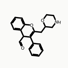 O=CC1C(c2ccccc2)=C(CC2CNCCO2)Oc2ccccc21